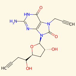 C#CCC(O)[C@@H]1C[C@@H](O)[C@H](n2c(=O)n(CC#C)c3c(=O)[nH]c(N)nc32)O1